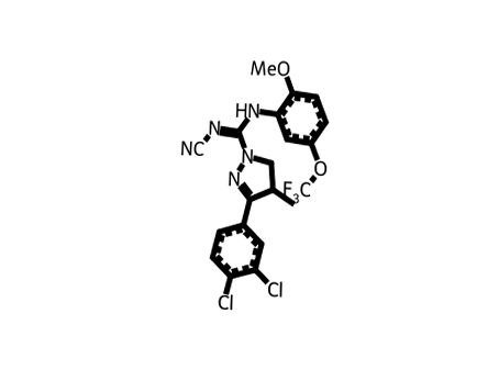 COc1ccc(OC(F)(F)F)cc1N/C(=N/C#N)N1CC(C)C(c2ccc(Cl)c(Cl)c2)=N1